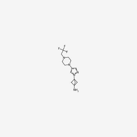 NC12CC(n3cc(N4CCN(CC(F)(F)F)CC4)cn3)(C1)C2